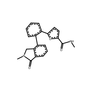 CNC(=O)c1ccc(-c2ccccc2-c2cccc3c2CN(C)C3=O)o1